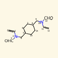 C=CN(C=O)CC1CCC(CN(C=C)C=O)CC1